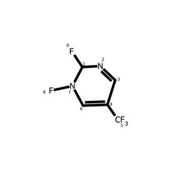 FC1N=CC(C(F)(F)F)=CN1F